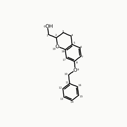 OCC1CCc2ccc(OCc3ccccc3)cc2O1